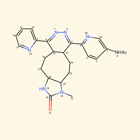 CC(=O)Nc1ccc(C2=NN=C(c3ccccn3)C3CCC4NC(=O)N(C)C4CCC23)nc1